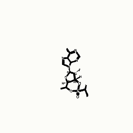 CC1=NC=NC2C1N=CN2[C@@H]1O[C@@H]2C(C)OP(=O)(C(C)C)O[C@H]2[C@H]1F